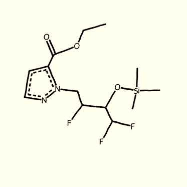 CCOC(=O)c1ccnn1CC(F)C(O[Si](C)(C)C)C(F)F